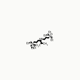 CCO[Si](CCCNC(CCC[Si](OCC)(OCC)OCC)C(C)C(=O)O)(OCC)OCC